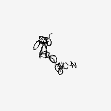 CCCCS(=O)(=O)NC(Cc1ccc(OCC2CN(c3ccc(C#N)cc3)C(=O)O2)cc1)C(=O)OC